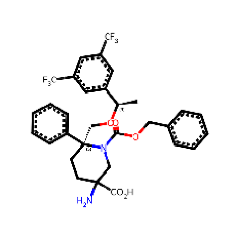 C[C@@H](OC[C@@]1(c2ccccc2)CCC(N)(C(=O)O)CN1C(=O)OCc1ccccc1)c1cc(C(F)(F)F)cc(C(F)(F)F)c1